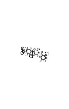 O=[N+]([O-])c1ccc(N2CCC(Cc3ccccc3Cl)CC2)c(Cl)c1